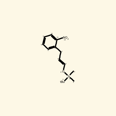 CC(C)(C)[Si](C)(C)OC=CCc1ccccc1[N+](=O)[O-]